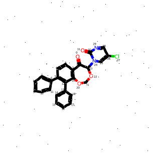 O=C1c2ccc(-c3ccccc3)c(-c3ccccc3)c2OCOC1n1cc(Cl)cnc1=O